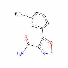 NC(=O)c1ncoc1-c1cccc(C(F)(F)F)c1